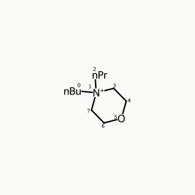 CCCC[N+]1(CCC)CCOCC1